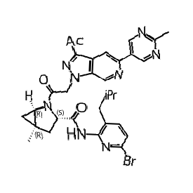 CC(=O)c1nn(CC(=O)N2[C@H](C(=O)Nc3nc(Br)ccc3CC(C)C)C[C@@]3(C)C[C@@H]23)c2cnc(-c3cnc(C)nc3)cc12